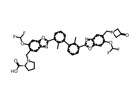 Cc1c(-c2nc3cc(CN4CC(=O)C4)c(OC(F)F)cc3o2)cccc1-c1cccc(-c2nc3cc(CN4CCC[C@H]4C(=O)O)c(OC(F)F)cc3o2)c1C